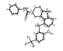 COc1ccc(C(F)(F)F)cc1Nc1ncnc2[nH]c3c(c12)C[C@@H](C(=O)Nc1ccccc1)CC3